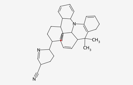 CC1(C)C2=C(C=CCC2)N(C2C=CC=CC2C2C=CC(C3CCC(C#N)C=N3)CC2)C2C=CC=CC21